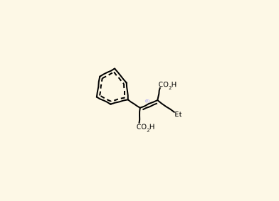 CC/C(C(=O)O)=C(\C(=O)O)c1ccccc1